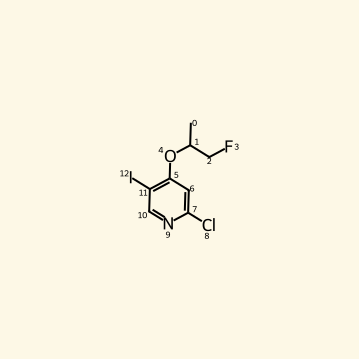 CC(CF)Oc1cc(Cl)ncc1I